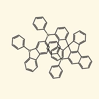 c1ccc(N(c2ccc3c4ccccc4n(-c4ccccc4)c3c2)c2cccc3c2-c2ccccc2C32c3ccccc3-c3c2c(N(c2ccccc2)c2ccccc2)cc2ccccc32)cc1